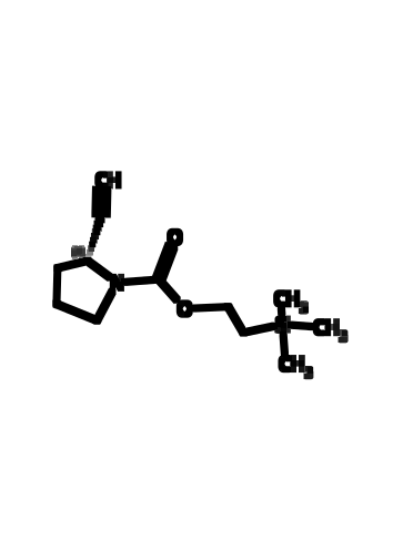 C#C[C@H]1CCCN1C(=O)OCC[Si](C)(C)C